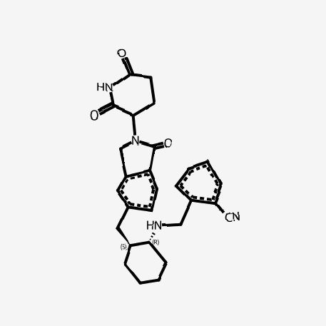 N#Cc1ccccc1CN[C@@H]1CCCC[C@H]1Cc1ccc2c(c1)CN(C1CCC(=O)NC1=O)C2=O